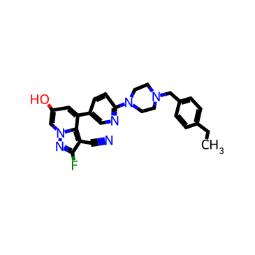 CCc1ccc(CN2CCN(c3ccc(-c4cc(O)cn5nc(F)c(C#N)c45)cn3)CC2)cc1